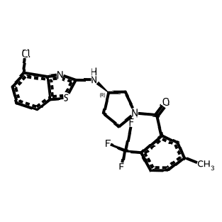 Cc1ccc(C(F)(F)F)c(C(=O)N2CC[C@@H](Nc3nc4c(Cl)cccc4s3)C2)c1